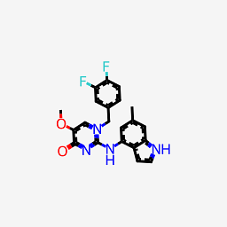 COc1cn(Cc2ccc(F)c(F)c2)c(Nc2cc(C)cc3[nH]ccc23)nc1=O